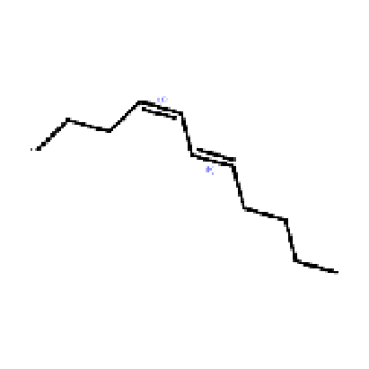 [CH2]CC/C=C\C=C\CCCC